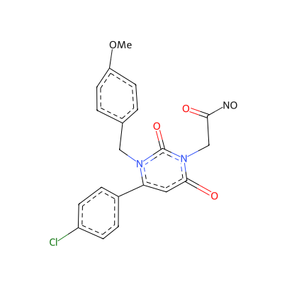 COc1ccc(Cn2c(-c3ccc(Cl)cc3)cc(=O)n(CC(=O)N=O)c2=O)cc1